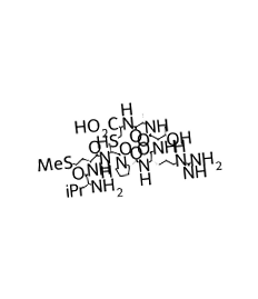 CSCC[C@H](NC(=O)[C@@H](N)C(C)C)C(=O)N[C@@H](C)C(=O)N1CCC[C@H]1C(=O)N[C@@H](CCCNC(=N)N)C(=O)N[C@H](C(=O)N[C@@H](C)C(=O)N[C@@H](CS)C(=O)O)[C@@H](C)O